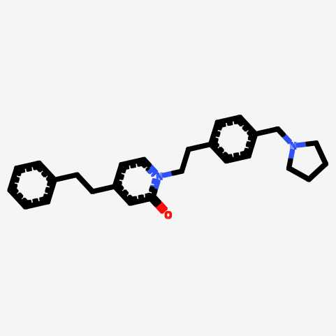 O=c1cc(CCc2ccccc2)ccn1CCc1ccc(CN2CCCC2)cc1